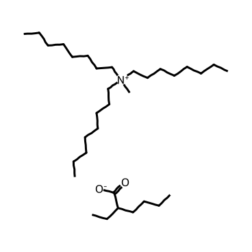 CCCCC(CC)C(=O)[O-].CCCCCCCC[N+](C)(CCCCCCCC)CCCCCCCC